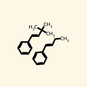 CC(C)(C)C=Cc1ccccc1.CCC=Cc1ccccc1